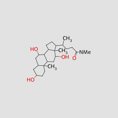 CNC(=O)CCC(C)C1CCC2C3C(O)CC4CC(O)CCC4(C)C3CC(O)C12C